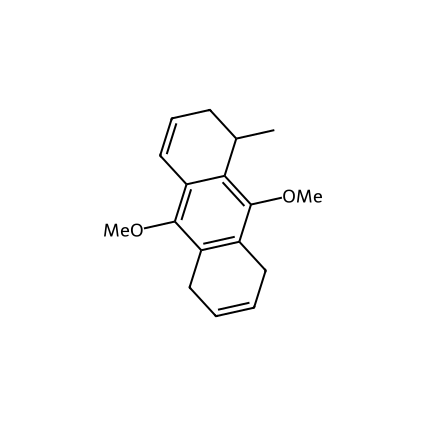 COc1c2c(c(OC)c3c1CC=CC3)C(C)CC=C2